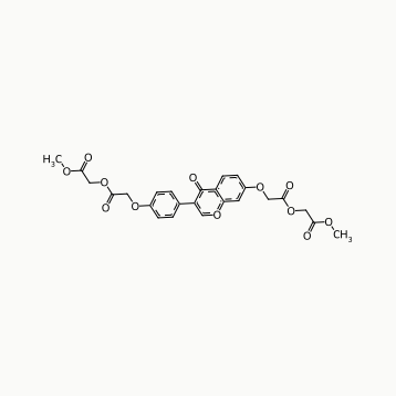 COC(=O)COC(=O)COc1ccc(-c2coc3cc(OCC(=O)OCC(=O)OC)ccc3c2=O)cc1